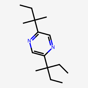 CCC(C)(C)c1cnc(C(C)(CC)CC)cn1